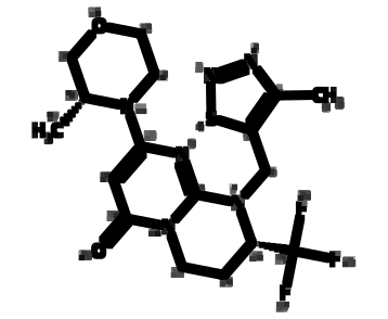 Cc1nnsc1CN1c2nc(N3CCOC[C@H]3C)cc(=O)n2CC[C@H]1C(F)(F)F